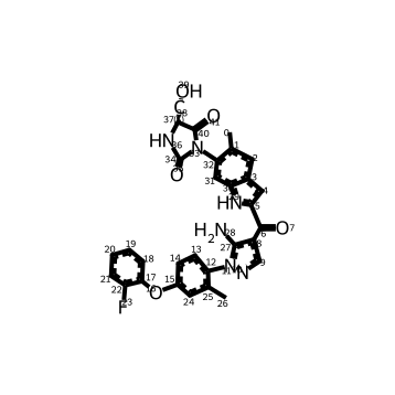 Cc1cc2cc(C(=O)c3cnn(-c4ccc(Oc5ccccc5F)cc4C)c3N)[nH]c2cc1N1C(=O)N[C@@H](CO)C1=O